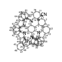 N#Cc1cccc(-c2c(-n3c4ccccc4c4ccccc43)c(-n3c4ccccc4c4ccccc43)c(-n3c4ccccc4c4c5ccccc5n(-c5ccccc5)c43)c(-n3c4ccccc4c4ccccc43)c2-n2c3ccccc3c3ccccc32)c1